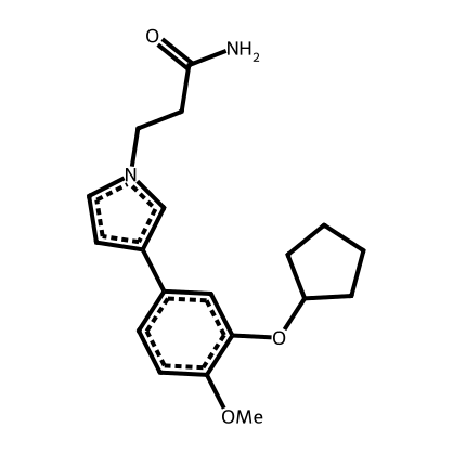 COc1ccc(-c2ccn(CCC(N)=O)c2)cc1OC1CCCC1